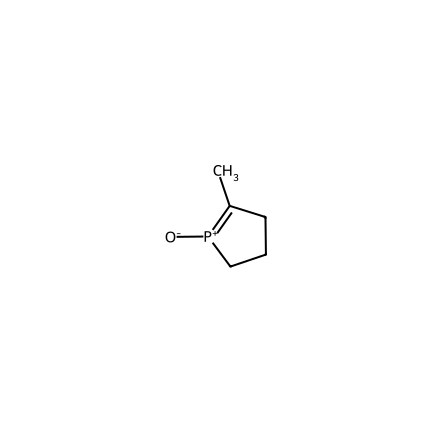 CC1=[P+]([O-])CCC1